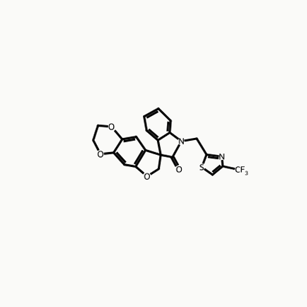 O=C1N(Cc2nc(C(F)(F)F)cs2)c2ccccc2C12COc1cc3c(cc12)OCCO3